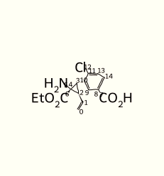 C=C[C@@H]1C[C@]1(N)C(=O)OCC.O=C(O)c1ccc(Cl)cc1